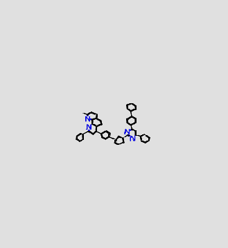 Cc1ccc2ccc3c(-c4ccc(-c5cccc(-c6nc(-c7ccccc7)cc(-c7ccc(-c8ccccc8)cc7)n6)c5)cc4)cc(-c4ccccc4)nc3c2n1